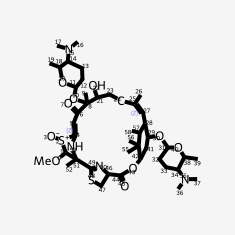 COC1[S+]([O-])/C2=C\C(=O)C(C)(OC3CCC(N(C)C)C(C)O3)C(O)CC/C(C)=C\C3C(OC4CCC(N(C)C)C(C)O4)CC(OC(=O)C4CSC(=N4)C1(C)N2)C(C)(C)C3C